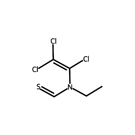 CCN(C=S)C(Cl)=C(Cl)Cl